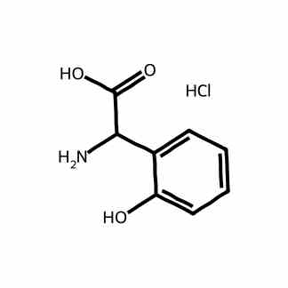 Cl.NC(C(=O)O)c1ccccc1O